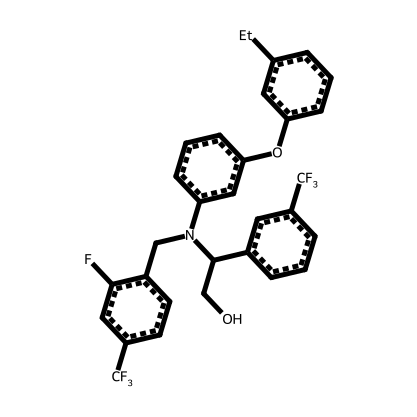 CCc1cccc(Oc2cccc(N(Cc3ccc(C(F)(F)F)cc3F)C(CO)c3cccc(C(F)(F)F)c3)c2)c1